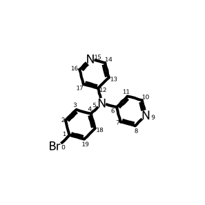 Brc1ccc(N(c2ccncc2)c2ccncc2)cc1